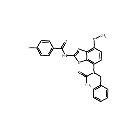 COc1ccc(N(Cc2ccccc2)C(C)=O)c2sc(NC(=O)c3ccc(F)cc3)nc12